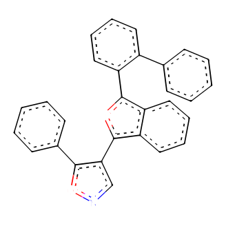 c1ccc(-c2ccccc2-c2oc(-c3cnoc3-c3ccccc3)c3ccccc23)cc1